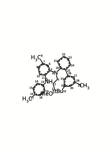 COCCCN(c1cc(C)ccc1Nc1ccc(C)cc1)c1ccccc1-c1cc(C)cc(C(C)(C)C)c1